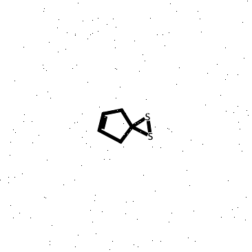 C1=CCC2(C1)SS2